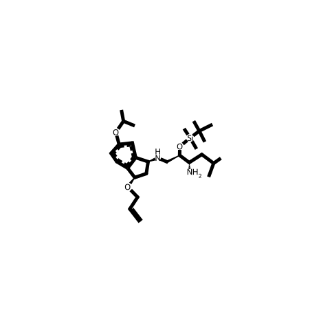 C=CCO[C@@H]1C[C@H](NC[C@@H](O[Si](C)(C)C(C)(C)C)[C@@H](N)CC(C)C)c2cc(OC(C)C)ccc21